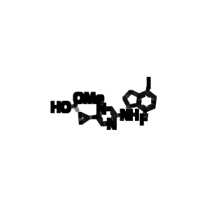 COC(O)[C@H]1C[C@@H]1c1cnc(N[C@@H]2CCc3c(I)ccc(F)c32)cn1